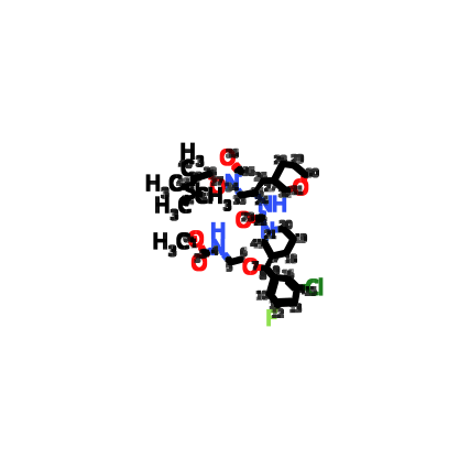 COC(=O)NCCOC(c1cc(F)cc(Cl)c1)[C@@H]1CCCN(C(=O)N[C@H](CC2CCCOC2)CN(C=O)OCC(C)[Si](C)(C)C)C1